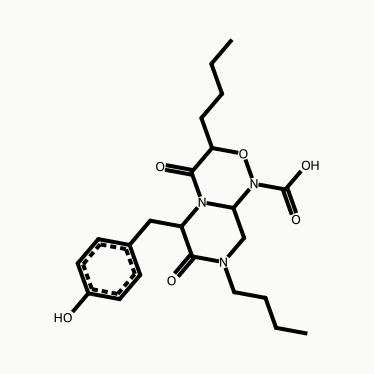 CCCCC1ON(C(=O)O)C2CN(CCCC)C(=O)C(Cc3ccc(O)cc3)N2C1=O